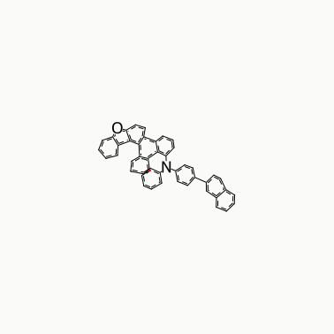 c1ccc(N(c2ccc(-c3ccc4ccccc4c3)cc2)c2cccc3c4ccc5oc6ccccc6c5c4c4ccccc4c23)cc1